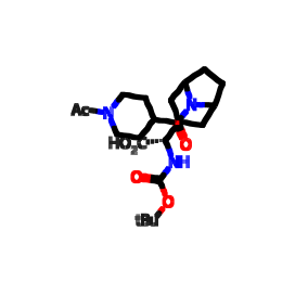 CC(=O)N1CCC(C(=O)N2C3CCC2CC([C@H](NC(=O)OC(C)(C)C)C(=O)O)C3)CC1